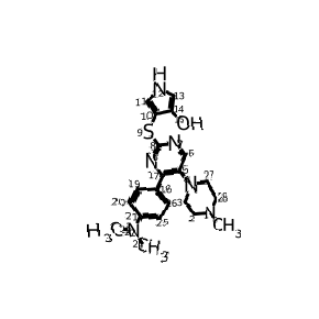 CN1CCN(c2cnc(Sc3c[nH]cc3O)nc2-c2ccc(N(C)C)cc2)CC1